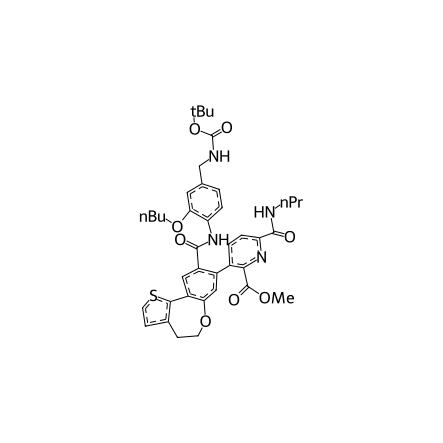 CCCCOc1cc(CNC(=O)OC(C)(C)C)ccc1NC(=O)c1cc2c(cc1-c1ccc(C(=O)NCCC)nc1C(=O)OC)OCCc1ccsc1-2